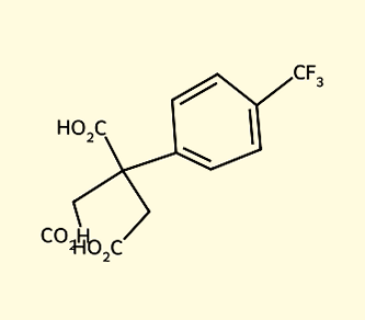 O=C(O)CC(CC(=O)O)(C(=O)O)c1ccc(C(F)(F)F)cc1